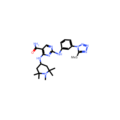 CSc1nnnn1-c1cccc(Nc2ncc(C(N)=O)c(NC3CC(C)(C)N(C)C(C)(C)C3)n2)c1